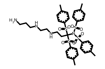 Cc1ccc(S(=O)(=O)N(C(CCNCCNCCCN)(S(=O)(=O)c2ccc(C)cc2)S(=O)(=O)c2ccc(C)cc2)S(=O)(=O)c2ccc(C)cc2)cc1